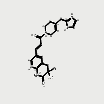 CCC1(CC)Cc2cc(C=CC(=O)N3CC=C(Cc4nccs4)CC3)cnc2NC1=O